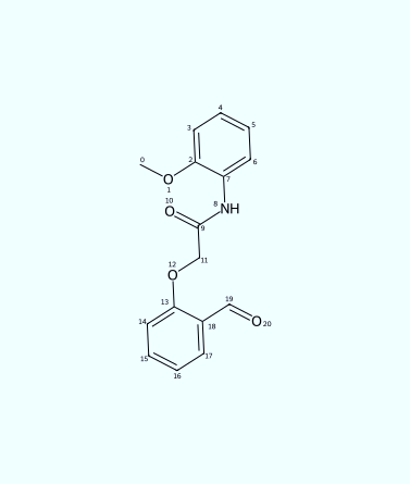 COc1ccccc1NC(=O)COc1ccccc1C=O